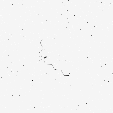 CCCCCCCCCCCCOP(=O)([O-])OCCO.[K+]